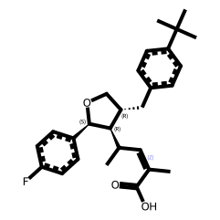 C/C(=C/C(C)[C@@H]1[C@@H](Cc2ccc(C(C)(C)C)cc2)CO[C@@H]1c1ccc(F)cc1)C(=O)O